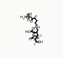 C[C@@H](CCCNCC1=C(C(=O)O)N2C(=O)[C@H]([C@@H](C)O)[C@H]2[C@H]1C)C(=O)NS(N)(=O)=O